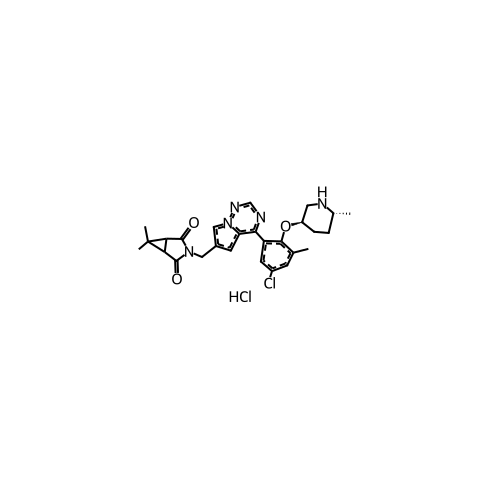 Cc1cc(Cl)cc(-c2ncnn3cc(CN4C(=O)C5C(C4=O)C5(C)C)cc23)c1O[C@@H]1CC[C@@H](C)NC1.Cl